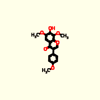 COc1ccc(-c2coc3c(OC)c(O)c(OC)cc3c2=O)cc1